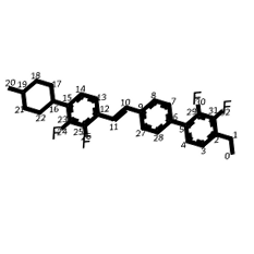 CCc1ccc(-c2ccc(/C=C/c3ccc(C4CCC(C)CC4)c(F)c3F)cc2)c(F)c1F